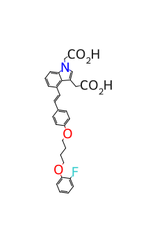 O=C(O)Cc1cn(CC(=O)O)c2cccc(C=Cc3ccc(OCCCCOc4ccccc4F)cc3)c12